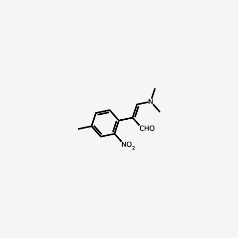 Cc1ccc(C(C=O)=CN(C)C)c([N+](=O)[O-])c1